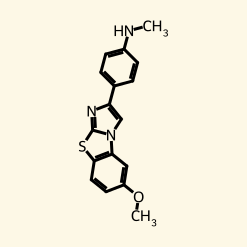 CNc1ccc(-c2cn3c(n2)sc2ccc(OC)cc23)cc1